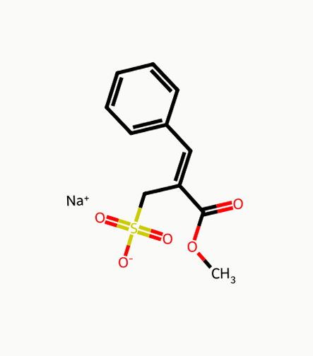 COC(=O)C(=Cc1ccccc1)CS(=O)(=O)[O-].[Na+]